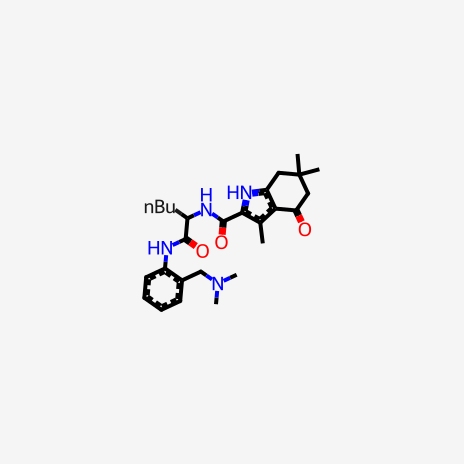 CCCCC(NC(=O)c1[nH]c2c(c1C)C(=O)CC(C)(C)C2)C(=O)Nc1ccccc1CN(C)C